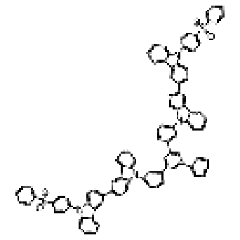 O=S(=O)(c1ccccc1)c1ccc(-n2c3ccccc3c3cc(-c4ccc5c(c4)c4ccccc4n5-c4cccc(-c5cc(-c6ccccc6)cc(-c6cccc(-n7c8ccccc8c8cc(-c9ccc%10c(c9)c9ccccc9n%10-c9ccc(S(=O)(=O)c%10ccccc%10)cc9)ccc87)c6)c5)c4)ccc32)cc1